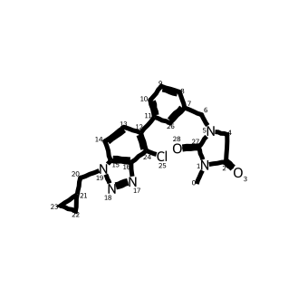 CN1C(=O)CN(Cc2cccc(-c3ccc4c(nnn4CC4CC4)c3Cl)c2)C1=O